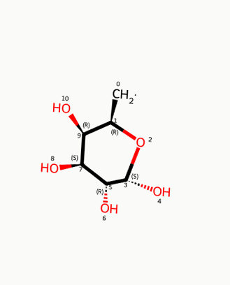 [CH2][C@H]1O[C@H](O)[C@H](O)[C@@H](O)[C@H]1O